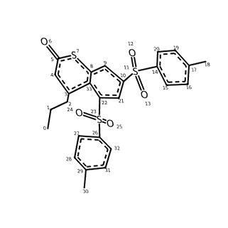 CCCc1cc(=O)sc2cc(S(=O)(=O)c3ccc(C)cc3)cc(S(=O)(=O)c3ccc(C)cc3)c12